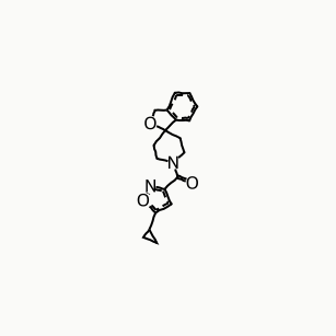 O=C(c1cc(C2CC2)on1)N1CCC2(CC1)OCc1ccccc12